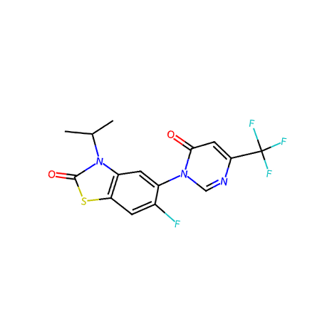 CC(C)n1c(=O)sc2cc(F)c(-n3cnc(C(F)(F)F)cc3=O)cc21